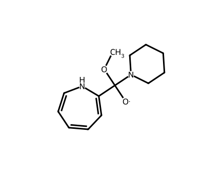 COC([O])(C1=CC=CC=CN1)N1CCCCC1